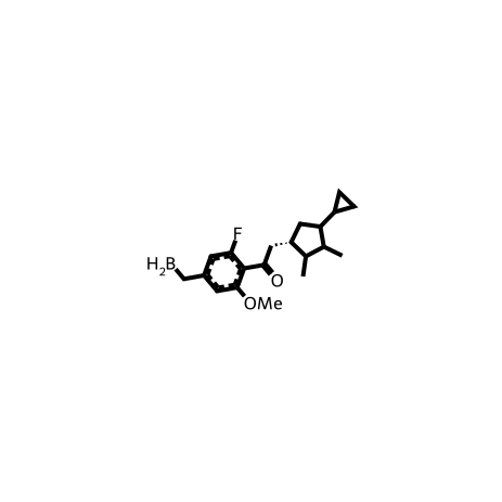 BCc1cc(F)c(C(=O)C[C@@H]2CC(C3CC3)C(C)C2C)c(OC)c1